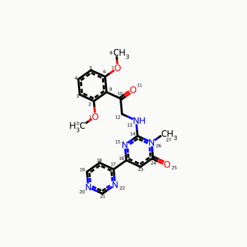 COc1cccc(OC)c1C(=O)CNc1nc(-c2ccncn2)cc(=O)n1C